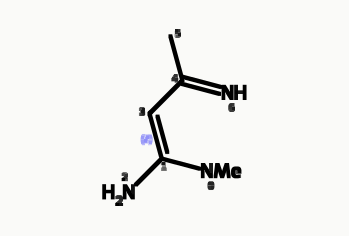 CN/C(N)=C\C(C)=N